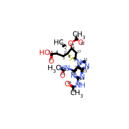 C#C[C@@]1(CCC(=O)O)SC(n2cnc3nc(NC(C)=O)nc(NC(C)=O)c32)C[C@@H]1OC(C)=O